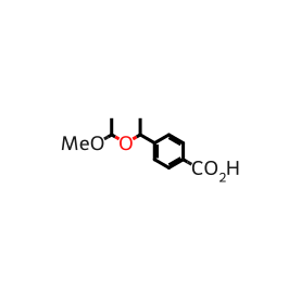 COC(C)OC(C)c1ccc(C(=O)O)cc1